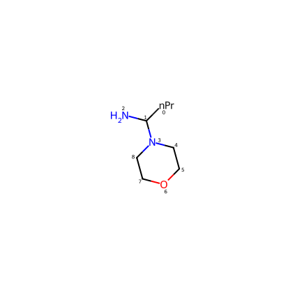 CCCC(N)N1CCOCC1